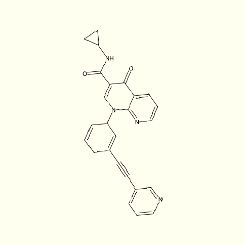 O=C(NC1CC1)c1cn(C2C=CCC(C#Cc3cccnc3)=C2)c2ncccc2c1=O